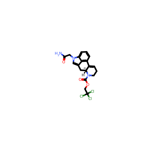 NC(=O)Cn1cc2c3c(cccc31)C1=CCCN(C(=O)OCC(Cl)(Cl)Cl)[C@@H]1C2